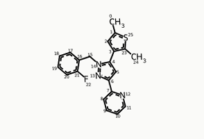 Cc1cc(-c2cc(-c3ccccn3)nn2Cc2ccccc2F)c(C)s1